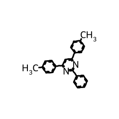 Cc1ccc(-c2cc(-c3ccc(C)cc3)nc(-c3ccccc3)n2)cc1